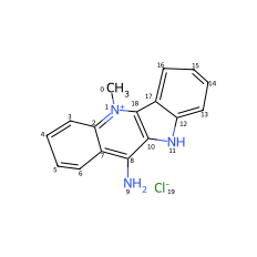 C[n+]1c2ccccc2c(N)c2[nH]c3ccccc3c21.[Cl-]